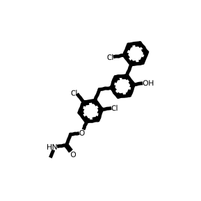 CNC(=O)COc1cc(Cl)c(Cc2ccc(O)c(-c3ccccc3Cl)c2)c(Cl)c1